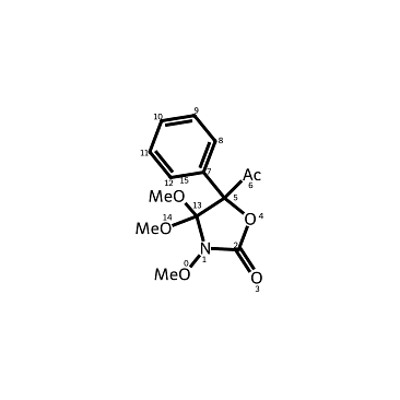 CON1C(=O)OC(C(C)=O)(c2ccccc2)C1(OC)OC